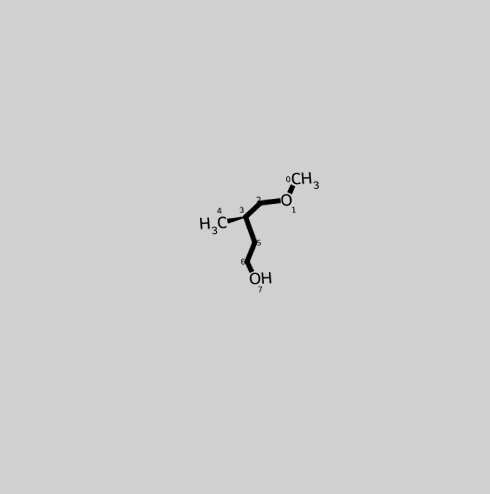 COC[C@H](C)CCO